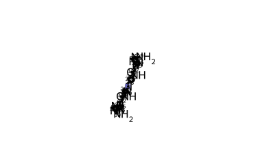 Cn1c(/N=C/c2ccc(NC(=O)CCn3cnc4c(N)ncnc43)cc2)ccc1NC(=O)CCn1cnc2c(N)ncnc21